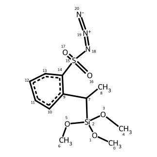 CO[Si](OC)(OC)C(C)c1ccccc1S(=O)(=O)N=[N+]=[N-]